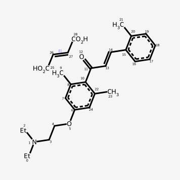 CCN(CC)CCOc1cc(C)c(C(=O)C=Cc2ccccc2C)c(C)c1.O=C(O)/C=C/C(=O)O